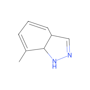 CC1=CC=CC2C=NNC12